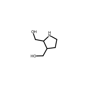 OCC1CCNC1CO